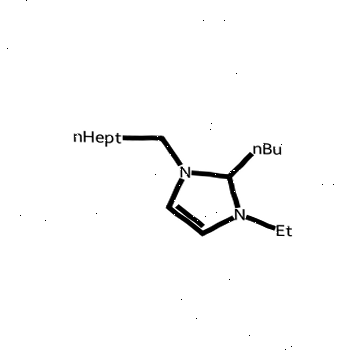 CCCCCCCCN1C=CN(CC)C1CCCC